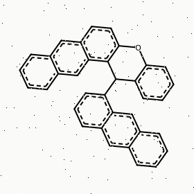 c1ccc2c(c1)Oc1ccc3cc4ccccc4cc3c1C2c1cccc2cc3ccccc3cc12